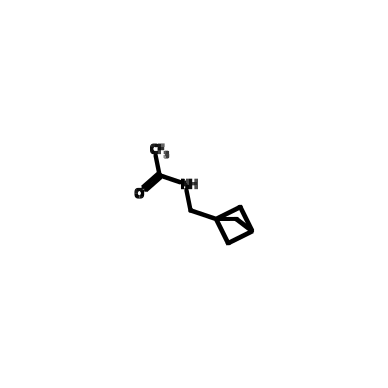 O=C(NCC12CC(C1)C2)C(F)(F)F